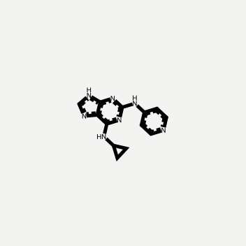 c1cc(Nc2nc(NC3CC3)c3nc[nH]c3n2)ccn1